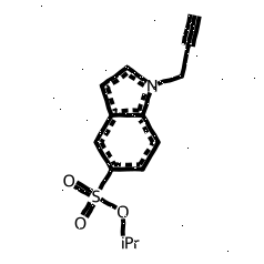 C#CCn1ccc2cc(S(=O)(=O)OC(C)C)ccc21